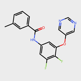 Cc1cccc(C(=O)Nc2cc(F)c(F)c(Oc3cncnc3)c2)c1